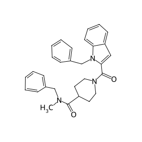 CN(Cc1ccccc1)C(=O)C1CCN(C(=O)c2cc3ccccc3n2Cc2ccccc2)CC1